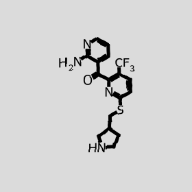 Nc1ncccc1C(=O)c1nc(SCC2CCNC2)ccc1C(F)(F)F